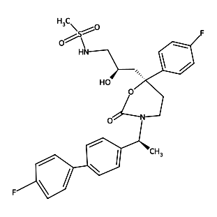 C[C@@H](c1ccc(-c2ccc(F)cc2)cc1)N1CC[C@](C[C@@H](O)CNS(C)(=O)=O)(c2ccc(F)cc2)OC1=O